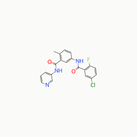 Cc1ccc(NC(=O)c2cc(Cl)ccc2F)cc1C(=O)Nc1cccnc1